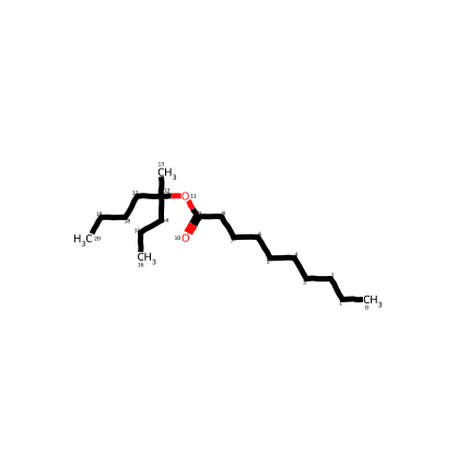 CCCCCCCCCC(=O)OC(C)(CCC)CCCC